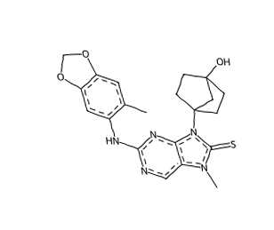 Cc1cc2c(cc1Nc1ncc3c(n1)n(C14CCC(O)(CC1)C4)c(=S)n3C)OCO2